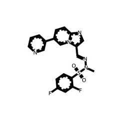 CN(N=Cc1cnc2ccc(-c3cccnc3)cn12)S(=O)(=O)c1ccc(F)cc1F